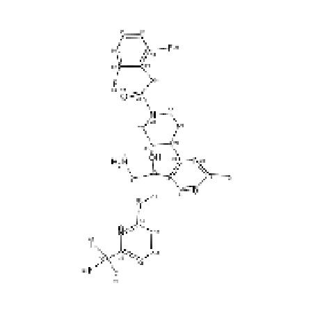 Cc1ncc(C(O)(CN)COc2cccc(C(F)(F)F)n2)c(C2CCN(C(=O)Cc3c(F)cccc3F)CC2)n1